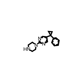 c1ccc(C2(c3cnc(N4CCNCC4)nc3)CC2)cc1